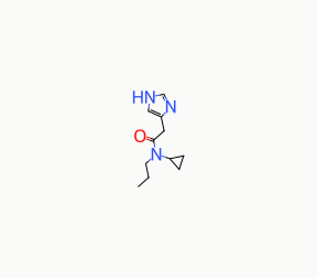 CCCN(C(=O)Cc1c[nH]cn1)C1CC1